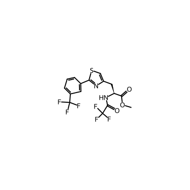 COC(=O)[C@H](Cc1csc(-c2cccc(C(F)(F)F)c2)n1)NC(=O)C(F)(F)F